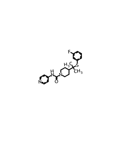 CC(C)(Sc1cccc(F)c1)C1CCN(C(=O)Nc2ccncc2)CC1